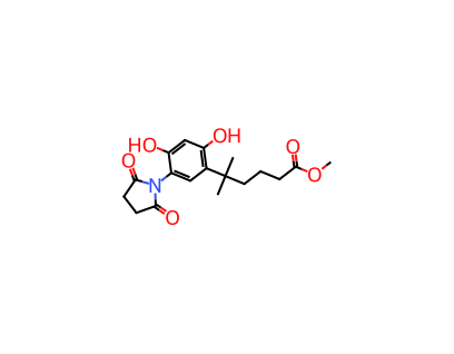 COC(=O)CCCC(C)(C)c1cc(N2C(=O)CCC2=O)c(O)cc1O